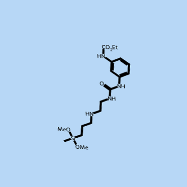 CCOC(=O)Nc1cccc(NC(=O)NCCNCCC[Si](C)(OC)OC)c1